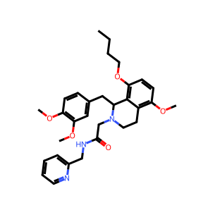 CCCCOc1ccc(OC)c2c1C(Cc1ccc(OC)c(OC)c1)N(CC(=O)NCc1ccccn1)CC2